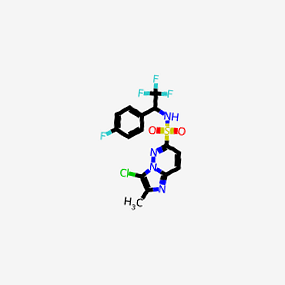 Cc1nc2ccc(S(=O)(=O)NC(c3ccc(F)cc3)C(F)(F)F)nn2c1Cl